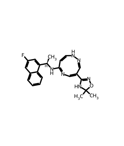 C[C@@H](Nc1cc[nH]ncc(C2=NOC(C)(C)N2)cn1)c1cc(F)cc2ccccc12